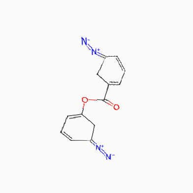 [N-]=[N+]=C1C=CC=C(OC(=O)C2=CC=CC(=[N+]=[N-])C2)C1